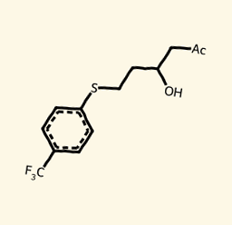 CC(=O)CC(O)CCSc1ccc(C(F)(F)F)cc1